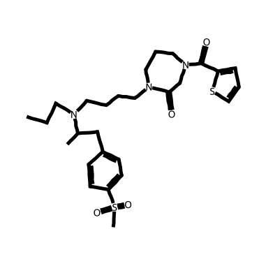 CCCN(CCCCN1CCCN(C(=O)c2cccs2)CC1=O)C(C)Cc1ccc(S(C)(=O)=O)cc1